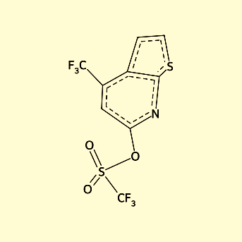 O=S(=O)(Oc1cc(C(F)(F)F)c2ccsc2n1)C(F)(F)F